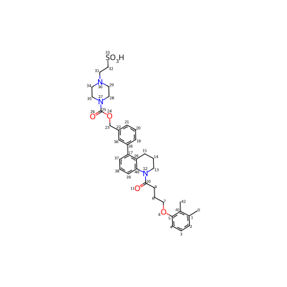 Cc1cccc(OCCCC(=O)N2CCCc3c(-c4cccc(COC(=O)N5CCN(CCS(=O)(=O)O)CC5)c4)cccc32)c1C